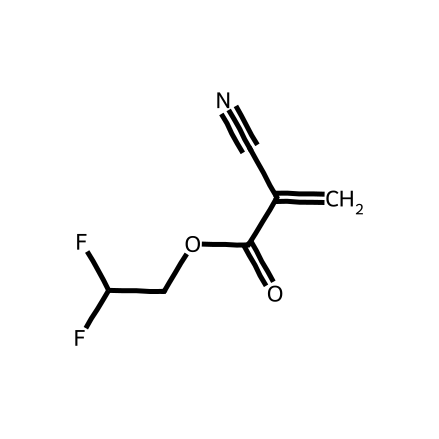 C=C(C#N)C(=O)OCC(F)F